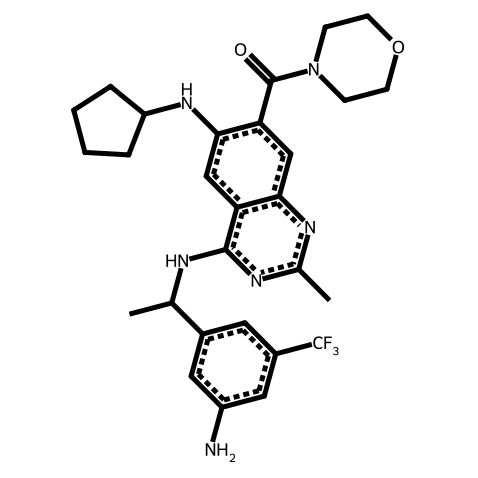 Cc1nc(NC(C)c2cc(N)cc(C(F)(F)F)c2)c2cc(NC3CCCC3)c(C(=O)N3CCOCC3)cc2n1